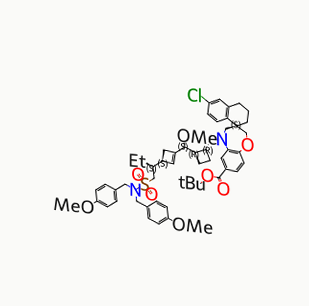 CC[C@H](CS(=O)(=O)N(Cc1ccc(OC)cc1)Cc1ccc(OC)cc1)[C@@H]1C=C([C@@H](OC)[C@@H]2CC[C@H]2CN2C[C@@]3(CCCc4cc(Cl)ccc43)COc3ccc(C(=O)OC(C)(C)C)cc32)C1